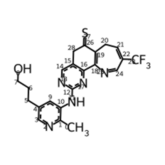 Cc1ncc(CCCO)cc1Nc1ncc2c(n1)C1=C(CC=C(C(F)(F)F)C=N1)C(=S)C2